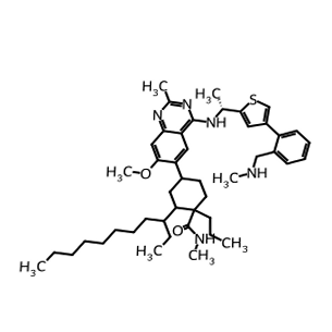 CCCCCCCCC(CC)C1CC(c2cc3c(N[C@H](C)c4cc(-c5ccccc5CNC)cs4)nc(C)nc3cc2OC)CCC1(CCC)C(=O)NC